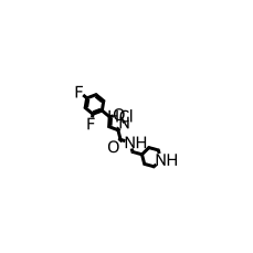 Cl.O=C(NCC1CCNCC1)c1cc(-c2ccc(F)cc2F)on1